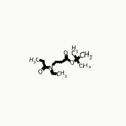 CCC(=O)N(CC)CCC(=O)OC(C)(C)C